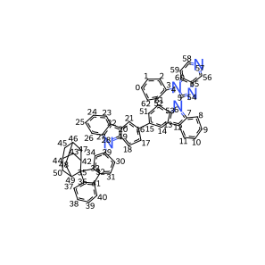 c1ccc(-n2c(-n3c4ccccc4c4cc(-c5ccc6c(c5)c5ccccc5n6-c5ccc6c(c5)C5(c7ccccc7-6)C6CC7CC(C6)CC5C7)ccc43)nc3cnccc32)cc1